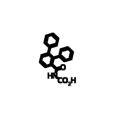 O=C(O)NC(=O)c1cccc(-c2ccccc2)c1-c1ccccc1